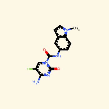 Cn1ccc2cc(NC(=O)n3cc(F)c(N)nc3=O)ccc21